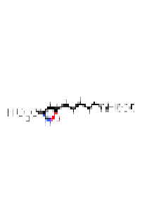 CCCCCCCCCCCCc1cc(C(=O)O)no1